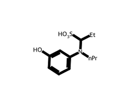 CCCN(c1cccc(O)c1)C(CC)S(=O)(=O)O